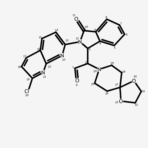 O=CC(C1c2ccccc2C(=O)N1c1ccc2ccc(Cl)nc2n1)N1CCC2(CC1)OCCO2